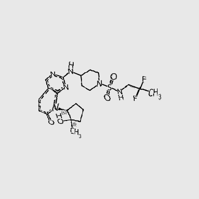 CC(F)(F)CNS(=O)(=O)N1CCC(Nc2ncc3ccc(=O)n([C@H]4CCC[C@]4(C)O)c3n2)CC1